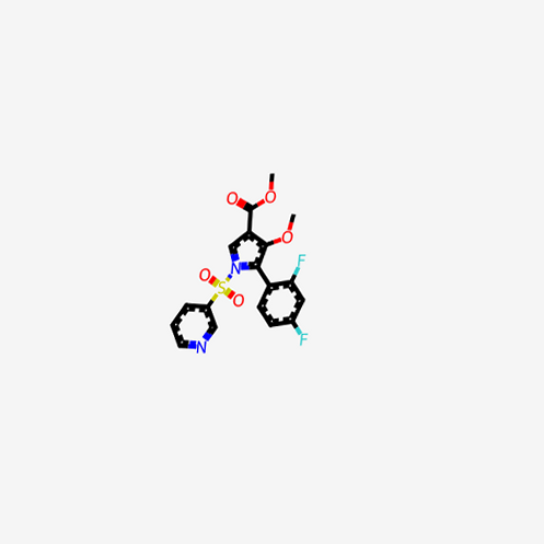 COC(=O)c1cn(S(=O)(=O)c2cccnc2)c(-c2ccc(F)cc2F)c1OC